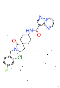 O=C(NC1CCC2(CC1)CCN(Cc1ccc(F)cc1Cl)C2=O)c1cnn2cccnc12